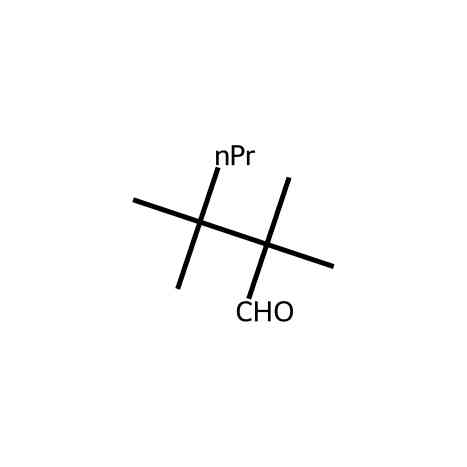 CCCC(C)(C)C(C)(C)C=O